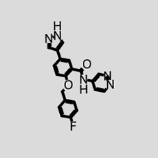 O=C(Nc1ccnnc1)c1cc(-c2cn[nH]c2)ccc1OCc1ccc(F)cc1